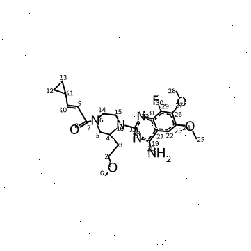 COCCC1CN(C(=O)C=CC2CC2)CCN1c1nc(N)c2cc(OC)c(OC)c(F)c2n1